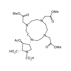 COC(=O)CN1CCN(CC(=O)OC)CCN([C@@H]2CN(C(=O)O)[C@H](C(=O)O)[C@H]2OC(C)=O)CCN(CC(=O)OC)CC1